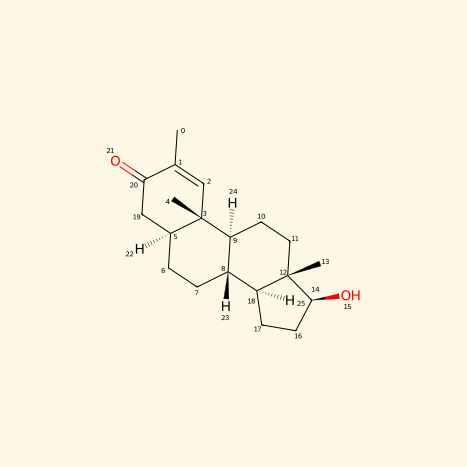 CC1=C[C@@]2(C)[C@@H](CC[C@@H]3[C@@H]2CC[C@]2(C)[C@@H](O)CC[C@@H]32)CC1=O